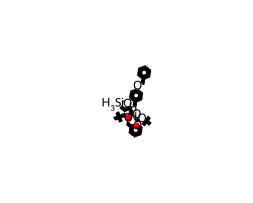 COC(=O)[C@](Cc1ccc(OCc2ccccc2)cc1)(O[SiH3])C(C)[C@H]([C@H](Cc1ccccc1)NC(=O)OC(C)(C)C)C(C)(C)C